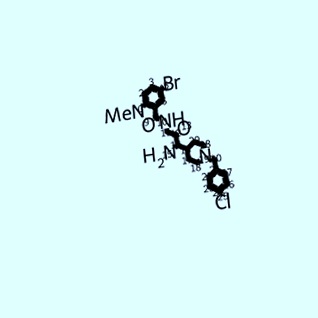 CNc1ccc(Br)cc1C(=O)NCC(=O)C(N)C1CCN(Cc2ccc(Cl)cc2)CC1